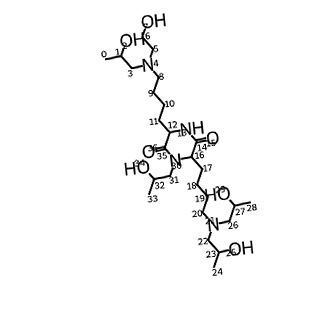 CC(O)CN(CCO)CCCCC1NC(=O)C(CCCCN(CC(C)O)CC(C)O)N(CC(C)O)C1=O